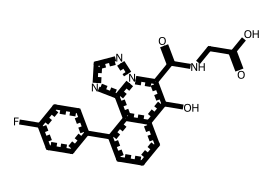 O=C(O)CNC(=O)c1c(O)c2cccc(-c3ccc(F)cc3)c2c2ncnn12